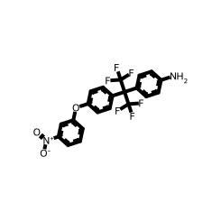 Nc1ccc(C(c2ccc(Oc3cccc([N+](=O)[O-])c3)cc2)(C(F)(F)F)C(F)(F)F)cc1